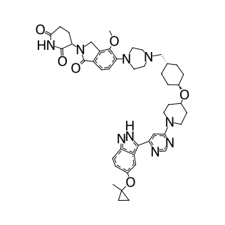 COc1c(N2CCN(C[C@H]3CC[C@H](OC4CCN(c5cc(-c6[nH]nc7ccc(OC8(C)CC8)cc67)ncn5)CC4)CC3)CC2)ccc2c1CN(C1CCC(=O)NC1=O)C2=O